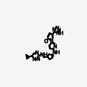 O=c1ccc(-c2nnn[nH]2)cn1-c1ccc(N[C@H]2CCC(CNc3ncc(C4CC4)nn3)C2)nc1